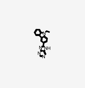 CCn1c2ccccc2c2cc(-c3nc4ncncc4[nH]3)ccc21